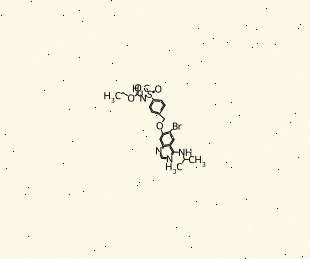 CCOC(=O)N=S(C)(=O)c1ccc(COc2cc3ncnc(NC(C)C)c3cc2Br)cc1